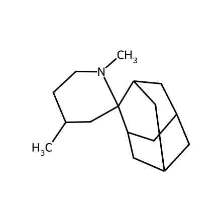 CC1CCN(C)C2(C1)C1CC3CC(C1)CC2C3